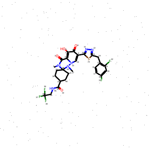 CN1C(=O)c2c(O)c(=O)c(-c3nnc(Cc4ccc(F)cc4F)s3)cn2N(C)C12CCC(C(=O)NCC(F)(F)F)CC2